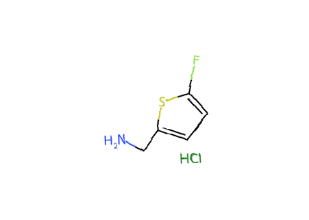 Cl.NCc1ccc(F)s1